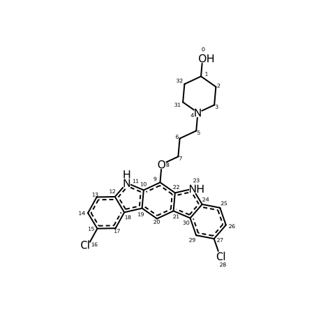 OC1CCN(CCCOc2c3[nH]c4ccc(Cl)cc4c3cc3c2[nH]c2ccc(Cl)cc23)CC1